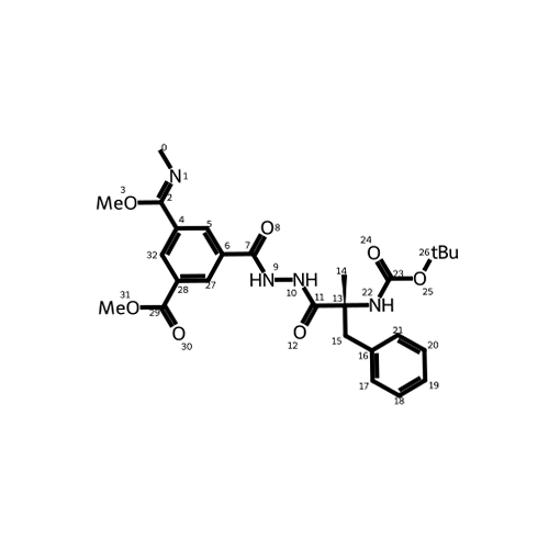 C/N=C(\OC)c1cc(C(=O)NNC(=O)[C@@](C)(Cc2ccccc2)NC(=O)OC(C)(C)C)cc(C(=O)OC)c1